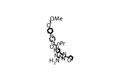 CCC[C@@H](C(=O)N1CCN(c2ccc(OCCOC)cc2)CC1)n1cc2c(nc(N)n3nc(-c4ccco4)nc23)n1